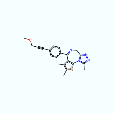 COCC#Cc1ccc(C2=NCc3nnc(C)n3-c3sc(C)c(C)c32)cc1